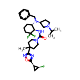 CC(C)N1CC[C@H](N(Cc2ccccc2)[C@H]2CCCC(F)(F)[C@@H]2NC(=O)N2CCC(C)(c3noc([C@@H]4C[C@@H]4F)n3)CC2)C1